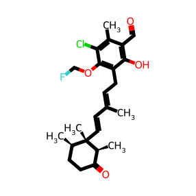 CC(/C=C/[C@@]1(C)[C@H](C)CCC(=O)[C@@H]1C)=C\Cc1c(O)c(C=O)c(C)c(Cl)c1OCF